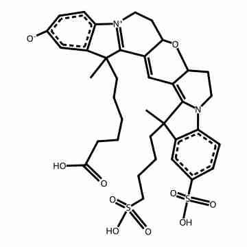 CC1(CCCCS(=O)(=O)O)C2=C3C=C4C5=[N+](CCC4OC3CCN2c2ccc(S(=O)(=O)O)cc21)c1ccc([O-])cc1C5(C)CCCCCC(=O)O